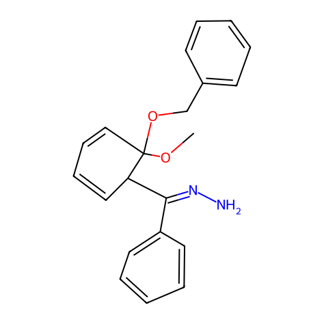 COC1(OCc2ccccc2)C=CC=CC1C(=NN)c1ccccc1